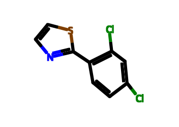 Clc1ccc(-c2nccs2)c(Cl)c1